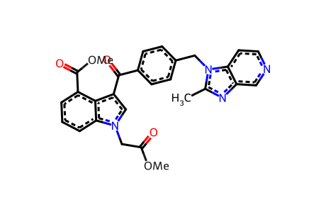 COC(=O)Cn1cc(C(=O)c2ccc(Cn3c(C)nc4cnccc43)cc2)c2c(C(=O)OC)cccc21